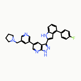 Fc1ccc(-c2cccc3[nH]c(-c4n[nH]c5ncc(-c6cncc(CN7CCCC7)c6)cc45)cc23)cc1